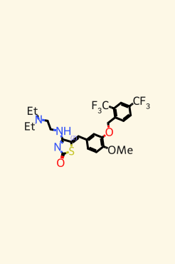 CCN(CC)CCNC1=NC(=O)S/C1=C\c1ccc(OC)c(OCc2ccc(C(F)(F)F)cc2C(F)(F)F)c1